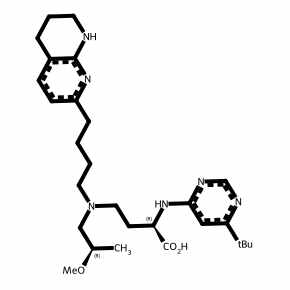 CO[C@H](C)CN(CCCCc1ccc2c(n1)NCCC2)CC[C@@H](Nc1cc(C(C)(C)C)ncn1)C(=O)O